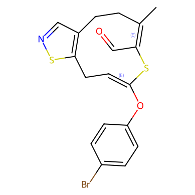 C/C1=C(/C=O)S/C(Oc2ccc(Br)cc2)=C/Cc2sncc2CC1